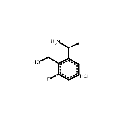 C[C@H](N)c1cccc(F)c1CO.Cl